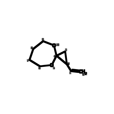 C=CC1CC12OCCCCO2